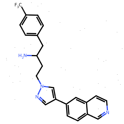 NC(CCn1cc(-c2ccc3cnccc3c2)cn1)Cc1ccc(C(F)(F)F)cc1